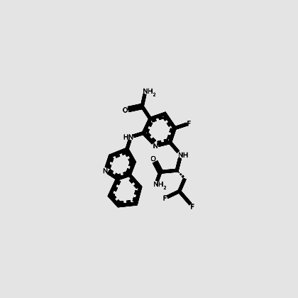 NC(=O)c1cc(F)c(N[C@H](CC(F)F)C(N)=O)nc1Nc1cnc2ccccc2c1